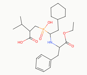 CCOC(=O)C(Cc1ccccc1)NC(CC1CCCCC1)P(=O)(O)CC(C(=O)O)C(C)C